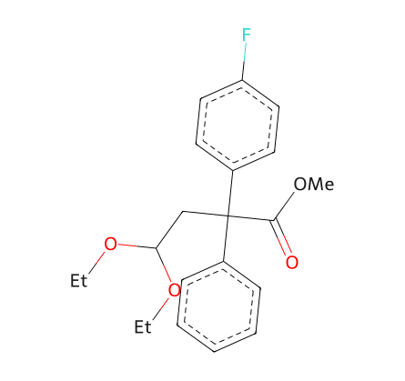 CCOC(CC(C(=O)OC)(c1ccccc1)c1ccc(F)cc1)OCC